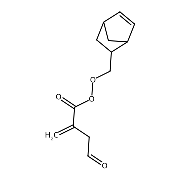 C=C(CC=O)C(=O)OOCC1CC2C=CC1C2